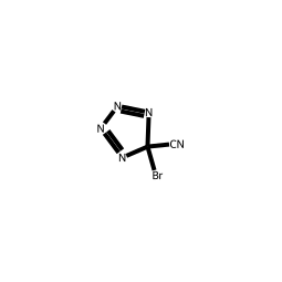 N#CC1(Br)N=NN=N1